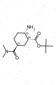 CN(C)C(=O)[C@H]1CC[C@H](N)[C@H](C(=O)OC(C)(C)C)C1